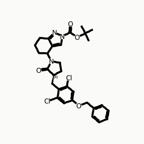 CC(C)(C)OC(=O)n1cc2c(n1)CCCC2N1CC[C@@H](Cc2c(Cl)cc(OCc3ccccc3)cc2Cl)C1=O